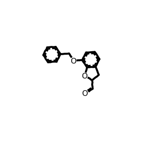 O=CC1Cc2cccc(OCc3ccccc3)c2O1